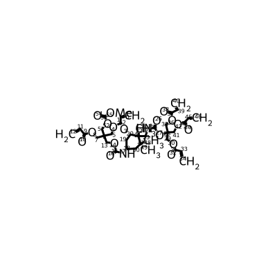 C=CC(=O)OCC(COC(=O)C=C)(COC(=O)NC1CCC(C)(CNC(=O)OC(COC(=O)C=C)(COC(=O)C=C)COC(=O)C=C)C(C)(C)C1)COC(=O)OC